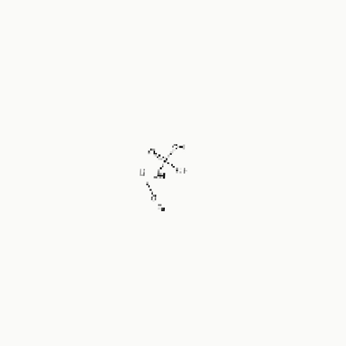 CO.O=P(O)(O)O.[Fe].[LiH]